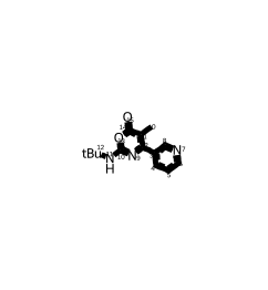 Cc1c(-c2cccnc2)nc(NC(C)(C)C)oc1=O